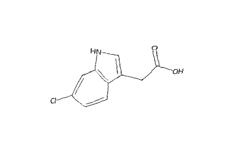 O=C(O)Cc1c[nH]c2cc(Cl)ccc12